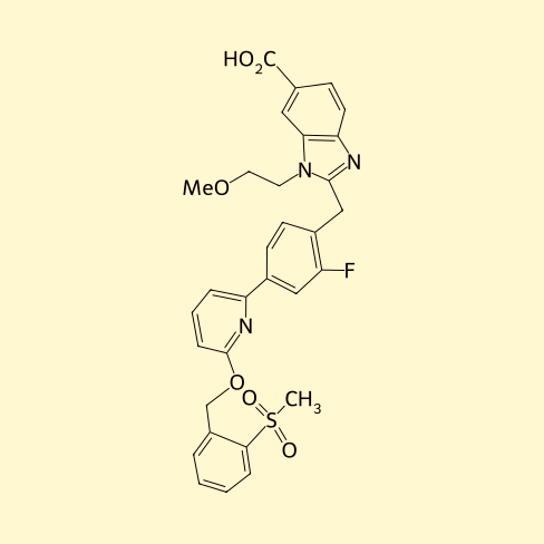 COCCn1c(Cc2ccc(-c3cccc(OCc4ccccc4S(C)(=O)=O)n3)cc2F)nc2ccc(C(=O)O)cc21